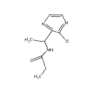 CCC(=O)NC(C)c1nccnc1Cl